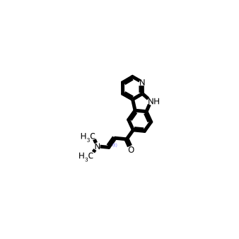 CN(C)/C=C/C(=O)c1ccc2[nH]c3ncccc3c2c1